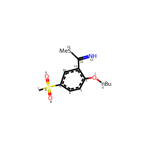 CCCCOc1ccc(S(C)(=O)=O)cc1C(=N)SC